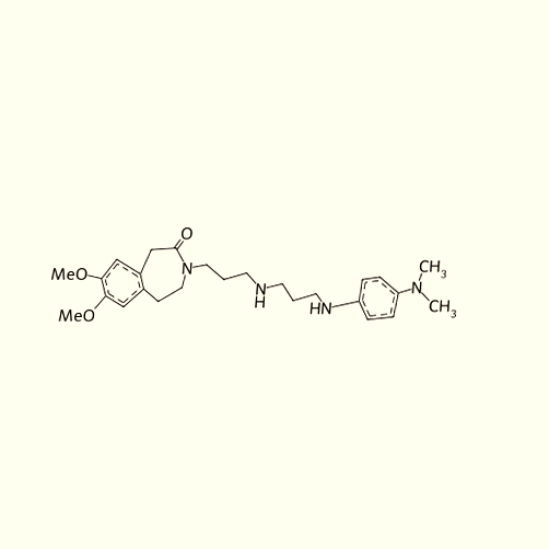 COc1cc2c(cc1OC)CC(=O)N(CCCNCCCNc1ccc(N(C)C)cc1)CC2